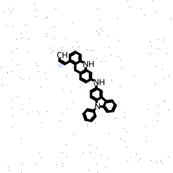 C/C=C\c1cccc2c1Cc1ccc(Nc3ccc4c(c3)c3ccccc3n4-c3ccccc3)cc1N2